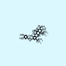 CN(C)c1cc(CNCc2ccc(O)c(O)c2)c(O)c2c1C[C@H]1C[C@H]3[C@H](N(C)C)C(O)=C(C(N)=O)C(=O)[C@@]3(O)C(O)=C1C2=O